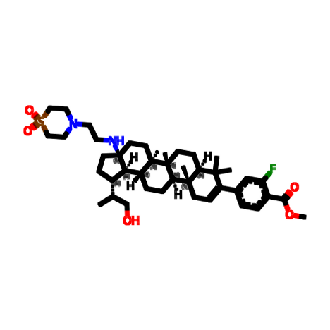 COC(=O)c1ccc(C2=CC[C@]3(C)[C@H]4CC[C@@H]5[C@H]6[C@H](C(C)CO)CC[C@]6(NCCN6CCS(=O)(=O)CC6)CC[C@@]5(C)[C@]4(C)CC[C@H]3C2(C)C)cc1F